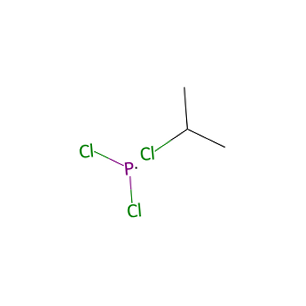 CC(C)Cl.Cl[P]Cl